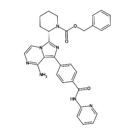 Nc1nccn2c([C@@H]3CCCCN3C(=O)OCc3ccccc3)nc(-c3ccc(C(=O)Nc4ccccn4)cc3)c12